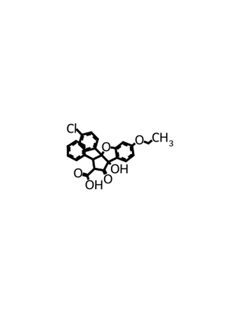 CCOc1ccc2c(c1)OC1(c3ccc(Cl)cc3)C(c3ccccc3)C(C(=O)O)C(=O)C21O